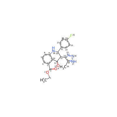 CCOC(=O)c1cccc2c1C(=O)C(c1nn[nH]c1C)C(c1ccc(F)cc1)N2